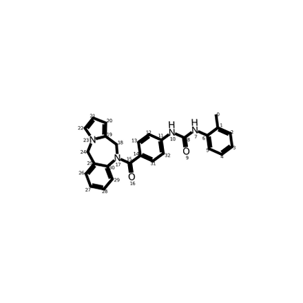 Cc1ccccc1NC(=O)Nc1ccc(C(=O)N2Cc3cccn3Cc3ccccc32)cc1